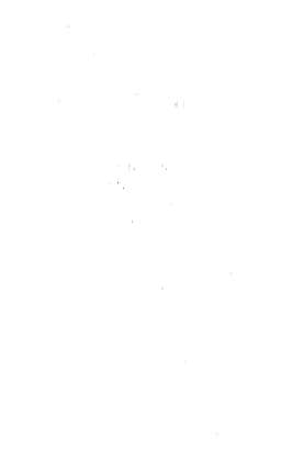 CC(=CCCc1ccc2nn(-c3cc4c(cc3O)OCO4)nc2c1)C(=O)O